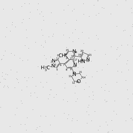 Cc1nn(C)cc1-c1cc(N2CCOCC2)nc2c(-c3ccn[nH]3)nccc12